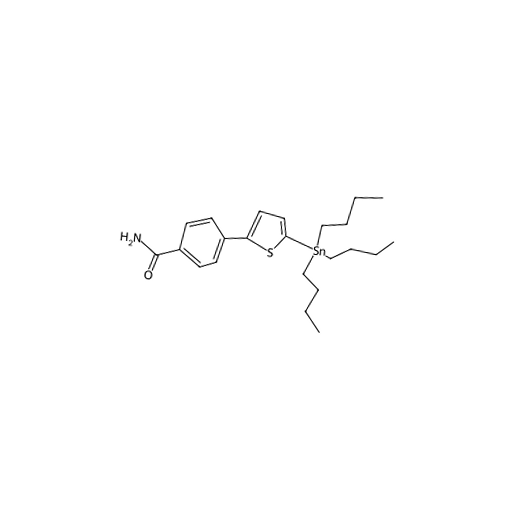 CCC[CH2][Sn]([CH2]CCC)([CH2]CCC)[c]1ccc(-c2ccc(C(N)=O)cc2)s1